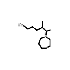 CC(C)CCCC(C)C(C)N1CCCCCC1